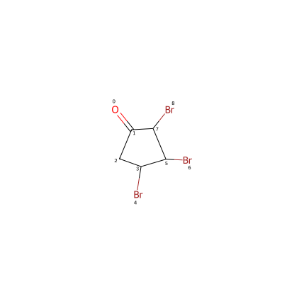 O=C1CC(Br)C(Br)C1Br